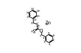 S=C(OCc1ccccc1)SCc1ccccc1.[Zn]